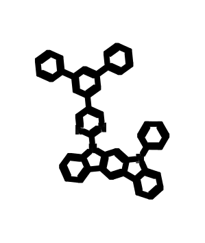 c1ccc(-c2cc(-c3ccccc3)cc(-c3cnc(-n4c5ccccc5c5cc6c7ccccc7n(-c7ccccc7)c6cc54)nc3)c2)cc1